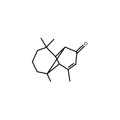 CC1=CC(=O)C2C3C1C2(C)CCCC3(C)C